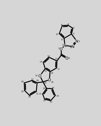 O=C(On1nnc2ccccc21)c1ccc2c(c1)OC(c1ccccc1)(c1ccccc1)O2